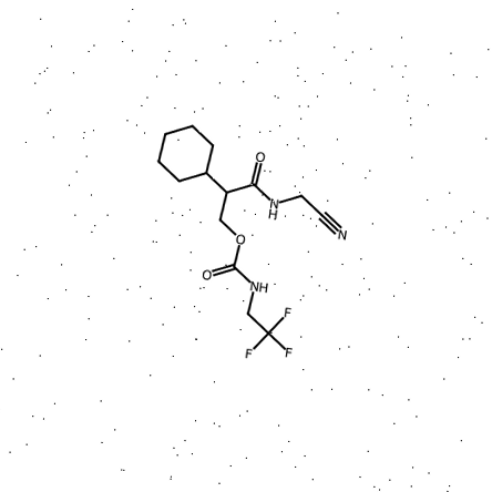 N#CCNC(=O)C(COC(=O)NCC(F)(F)F)C1CCCCC1